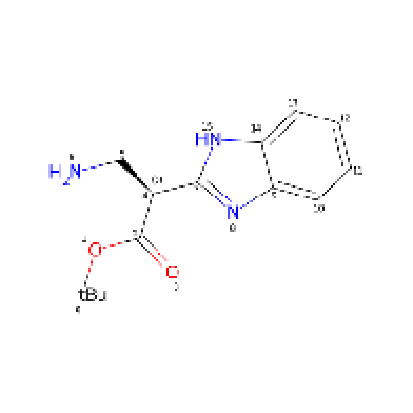 CC(C)(C)OC(=O)[C@@H](CN)c1nc2ccccc2[nH]1